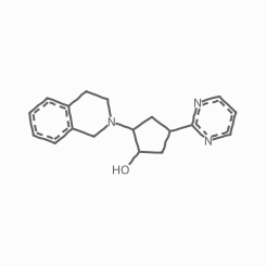 OC1CC(c2ncccn2)CC1N1CCc2ccccc2C1